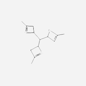 CCC1=CC(C(C2CC(CC)=N2)C2CC(CC)=N2)N1